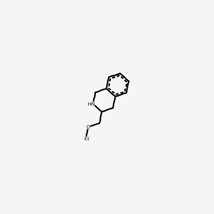 CCOCC1Cc2ccccc2CN1